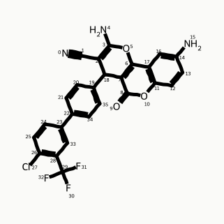 N#CC1=C(N)Oc2c(c(=O)oc3ccc(N)cc23)C1c1ccc(-c2ccc(Cl)c(C(F)(F)F)c2)cc1